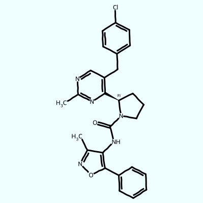 Cc1ncc(Cc2ccc(Cl)cc2)c([C@H]2CCCN2C(=O)Nc2c(C)noc2-c2ccccc2)n1